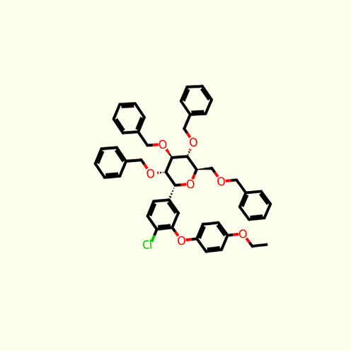 CCOc1ccc(Oc2cc([C@H]3O[C@H](COCc4ccccc4)[C@@H](OCc4ccccc4)[C@H](OCc4ccccc4)[C@H]3OCc3ccccc3)ccc2Cl)cc1